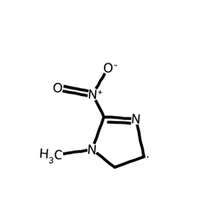 CN1C[CH]N=C1[N+](=O)[O-]